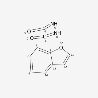 N=C=O.N=C=O.c1ccc2occc2c1